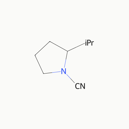 CC(C)C1CCCN1C#N